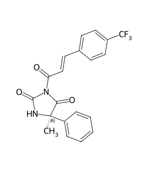 C[C@]1(c2ccccc2)NC(=O)N(C(=O)C=Cc2ccc(C(F)(F)F)cc2)C1=O